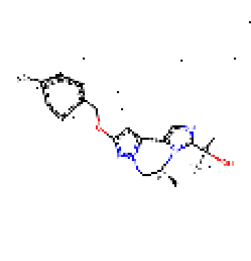 C[C@H]1Cn2nc(OCc3ccc(C#N)cc3)cc2-c2cnc([C@@](C)(O)C(F)(F)F)n21